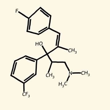 CC(=Cc1ccc(F)cc1)C(O)(c1cccc(C(F)(F)F)c1)C(C)CN(C)C